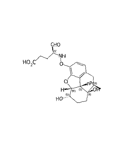 CCC[C@]12c3c4ccc(ON[C@H](C=O)CCC(=O)O)c3O[C@H]1[C@@H](O)CC[C@@]2(O)[C@H](C)C4